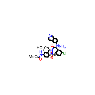 COC(=O)Nc1ccc(S(=O)(=O)C(C)C)c([C@@H](CC(=O)O)NC(=O)[C@@H](c2cccc(Cl)c2)N(N)c2ccc3cnccc3c2)c1